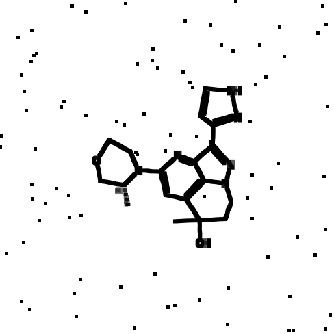 C[C@@H]1COCCN1c1cc2c3c(n1)c(-c1cc[nH]n1)nn3CCC2(C)O